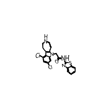 O=C(Cn1c2c(c3c(Cl)cc(Cl)cc31)CCNCC2)Nc1nc2ccccc2s1